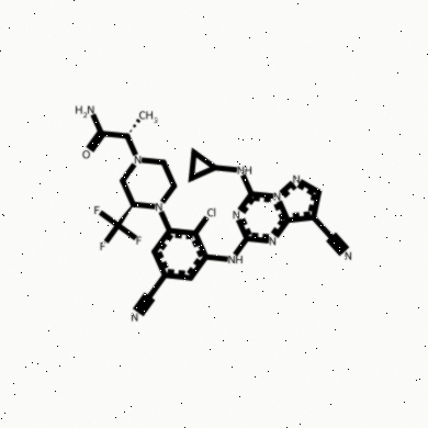 C[C@@H](C(N)=O)N1CCN(c2cc(C#N)cc(Nc3nc(NC4CC4)n4ncc(C#N)c4n3)c2Cl)[C@@H](C(F)(F)F)C1